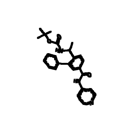 CC(NC(=O)OC(C)(C)C)c1ccc(C(=O)Nc2ccncc2)cc1-c1ccccc1